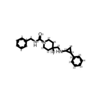 O=C(NCc1ccccc1)N1CCC(F)(CNC2CC2c2ccccc2)CC1